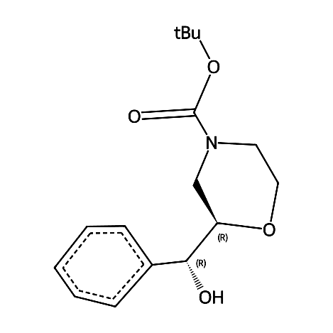 CC(C)(C)OC(=O)N1CCO[C@@H]([C@H](O)c2ccccc2)C1